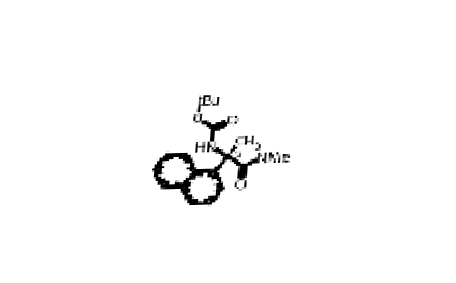 CNC(=O)[C@@](C)(NC(=O)OC(C)(C)C)c1cccc2ccccc12